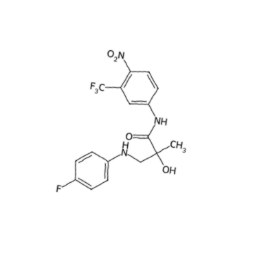 CC(O)(CNc1ccc(F)cc1)C(=O)Nc1ccc([N+](=O)[O-])c(C(F)(F)F)c1